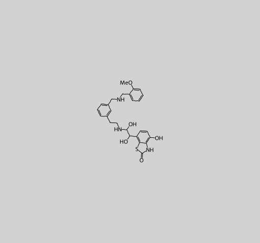 COc1ccccc1CNCc1cccc(CCNC(O)C(O)c2ccc(O)c3[nH]c(=O)sc23)c1